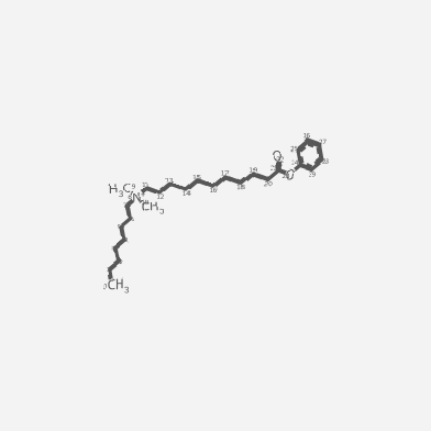 CCCCCCCC[N+](C)(C)CCCCCCCCCCC(=O)Oc1ccccc1